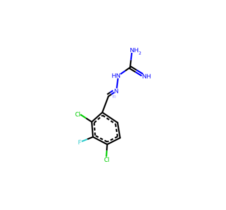 N=C(N)N/N=C/c1ccc(Cl)c(F)c1Cl